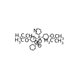 CC(C)(C)Oc1ccc(S(OS(=O)(=O)c2ccccc2)(c2ccc(OC(C)(C)C)cc2)c2cccnc2)cc1